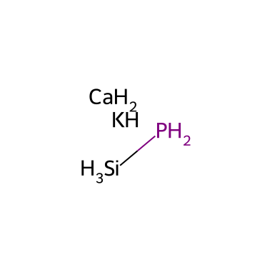 [CaH2].[KH].[SiH3]P